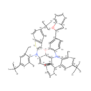 Cc1cc(C(C)(C)C)cc(C)c1N1c2cccc3c2B(c2cc(-c4cc5ccccc5o4)ccc2N3c2c(C)cc(C(C)(C)C)cc2-c2ccccc2)c2c1sc1ccc(C(C)(C)C)cc21